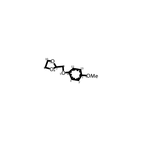 COc1ccc(OCC2OCCO2)cc1